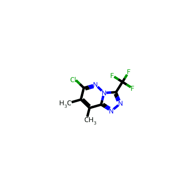 Cc1c(Cl)nn2c(C(F)(F)F)nnc2c1C